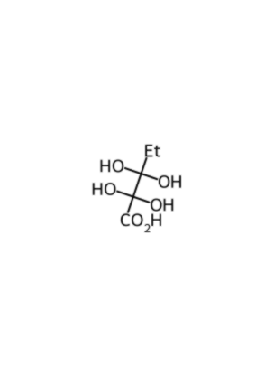 CCC(O)(O)C(O)(O)C(=O)O